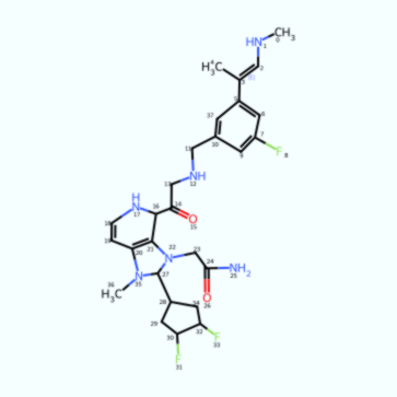 CN/C=C(\C)c1cc(F)cc(CNCC(=O)C2NC=CC3=C2N(CC(N)=O)C(C2CC(F)C(F)C2)N3C)c1